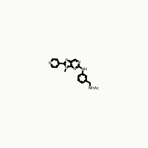 CC(=O)NCc1cccc(Nc2ncc3nc(-c4ccncc4)n(C)c3n2)c1